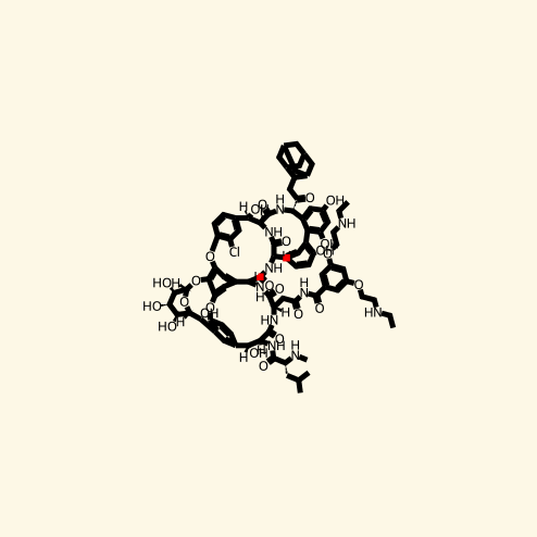 CCNCCOc1cc(OCCNCC)cc(C(=O)NC(=O)C[C@@H]2NC(=O)[C@H](NC(=O)[C@@H](CC(C)C)NC)[C@H](O)c3ccc4c(c3)C(O)[C@H]3O[C@@H](Oc5c6cc(cc5O4)[C@@H](NC2=O)C(=O)N[C@H]2C(=O)N[C@H](C(=O)N[C@H](C(=O)CC4C5CC7CC(C5)CC4C7)c4cc(O)cc(O)c4-c4cc2ccc4O)[C@H](O)c2ccc(c(Cl)c2)O6)[C@H](O)[C@@H](O)[C@@H]3O)c1